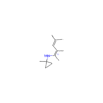 CC(C)=C/C(C)=C(/C)NC1(C)CC1